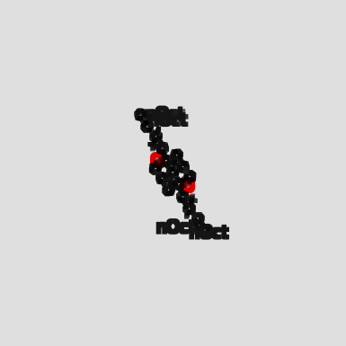 CCCCCCCCC1(CCCCCCCC)c2ccccc2-c2ccc(-c3cc4c(cc3C)-c3ccc(-c5cc6c(c7c5oc5ccccc57)-c5cc7c(cc5C65c6ccccc6-c6ccccc65)-c5c(cc(-c6ccc8c(c6)C(C)(C)c6cc(-c9ccc%10c(c9)C(CCCCCCCC)(CCCCCCCC)c9ccccc9-%10)c(C)cc6-8)c6oc8ccccc8c56)C75c6ccccc6-c6ccccc65)cc3C4(C)C)cc21